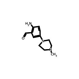 CN1CCN(c2ccc(N)c(C=O)c2)CC1